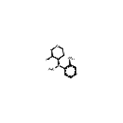 COc1ccccc1N(OC)C1CCO[CH]C1F